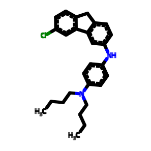 CCCCN(CCCC)c1ccc(Nc2ccc3c(c2)-c2cc(Cl)ccc2C3)cc1